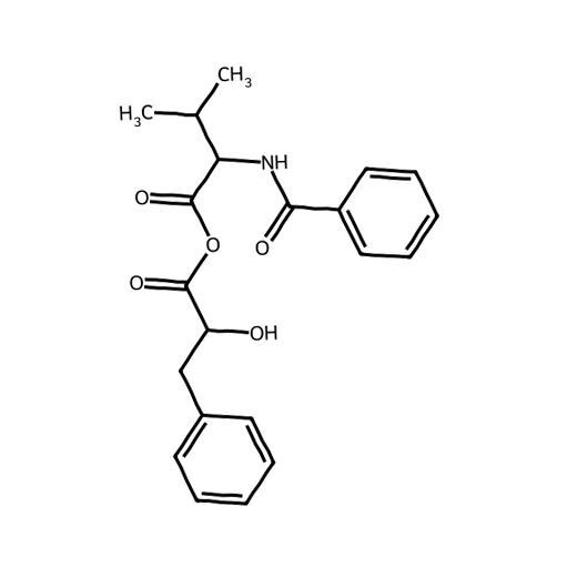 CC(C)C(NC(=O)c1ccccc1)C(=O)OC(=O)C(O)Cc1ccccc1